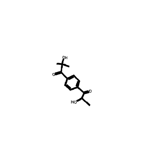 CC(O)C(=O)c1ccc(C(=O)C(C)(C)O)cc1